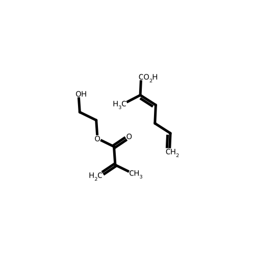 C=C(C)C(=O)OCCO.C=CCC=C(C)C(=O)O